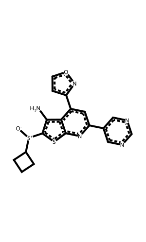 Nc1c([S+]([O-])C2CCC2)sc2nc(-c3cncnc3)cc(-c3ccon3)c12